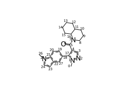 Cn1ncc(C(=O)N2CCCC3CCCCC32)c1-c1ccc2c(ccn2C)c1